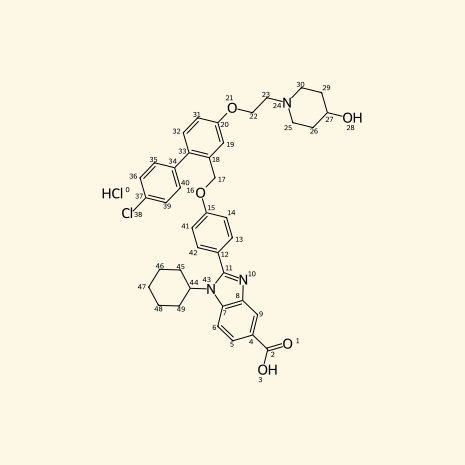 Cl.O=C(O)c1ccc2c(c1)nc(-c1ccc(OCc3cc(OCCN4CCC(O)CC4)ccc3-c3ccc(Cl)cc3)cc1)n2C1CCCCC1